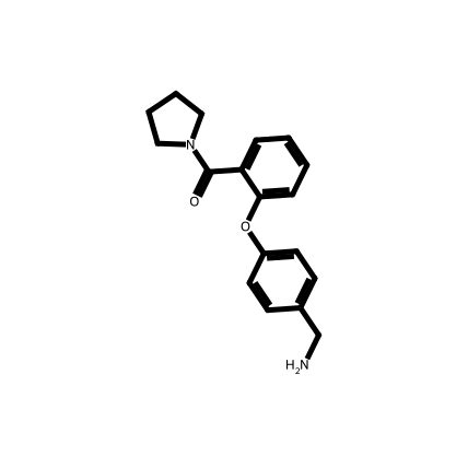 NCc1ccc(Oc2ccccc2C(=O)N2CCCC2)cc1